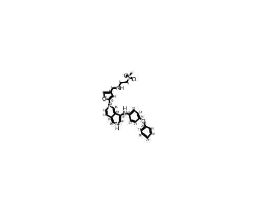 CS(=O)(=O)CCNCc1coc(N2C=CC3=CNC=C(Nc4ccc(Oc5ccccc5)cc4)C3=C2)c1